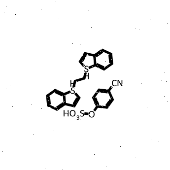 C1=C[SH](CC[SH]2C=Cc3ccccc32)c2ccccc21.N#Cc1ccc(OS(=O)(=O)O)cc1